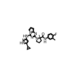 Cc1cc(NC(=O)[C@]2(C)CCCN2c2nc(Nc3cc(C4CC4)[nH]n3)n3cccc3n2)ccc1F